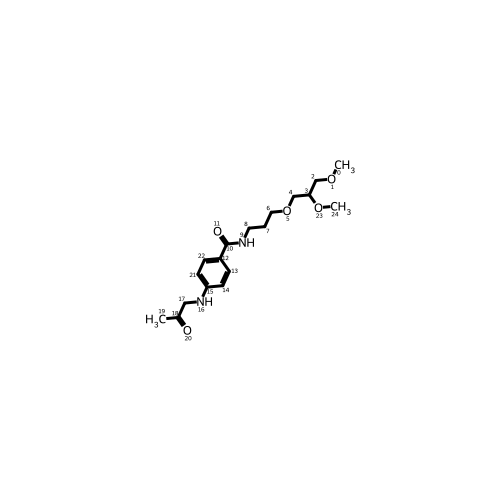 COCC(COCCCNC(=O)c1ccc(NCC(C)=O)cc1)OC